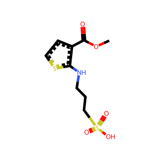 COC(=O)c1ccsc1NCCCS(=O)(=O)O